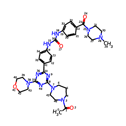 CC(=O)N1CCCN(c2nc(-c3ccc(NC(=O)Nc4ccc(C(=O)N5CCN(C)CC5)cc4)cc3)nc(N3CCOCC3)n2)CC1